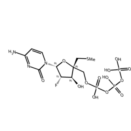 CSC[C@]1(COP(=O)(O)OP(=O)(O)OP(=O)(O)O)O[C@@H](n2ccc(N)nc2=O)[C@@H](F)[C@@H]1O